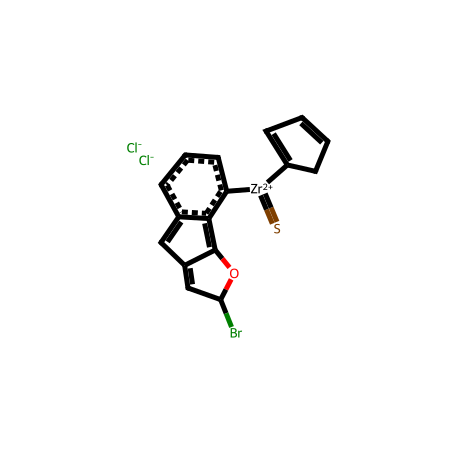 [Cl-].[Cl-].[S]=[Zr+2]([C]1=CC=CC1)[c]1cccc2c1=C1OC(Br)C=C1C=2